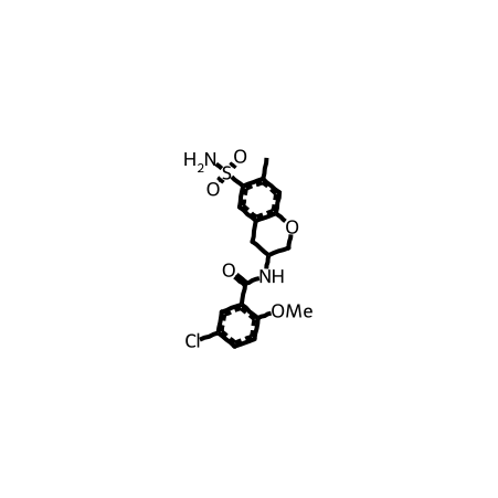 COc1ccc(Cl)cc1C(=O)NC1COc2cc(C)c(S(N)(=O)=O)cc2C1